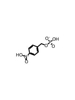 O=[N+](O)c1ccc(COP(=O)([O-])O)cc1